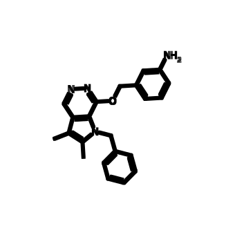 Cc1c(C)n(Cc2ccccc2)c2c(OCc3cccc(N)c3)nncc12